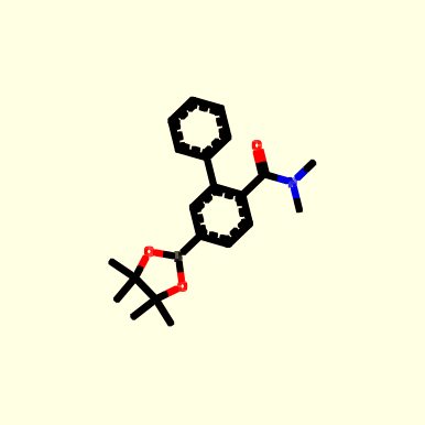 CN(C)C(=O)c1ccc(B2OC(C)(C)C(C)(C)O2)cc1-c1ccccc1